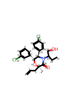 C=CC[C@@]1(C)O[C@H](c2cccc(Cl)c2)[C@@H](c2ccc(Cl)cc2)N(C(CC)CO)C1=O